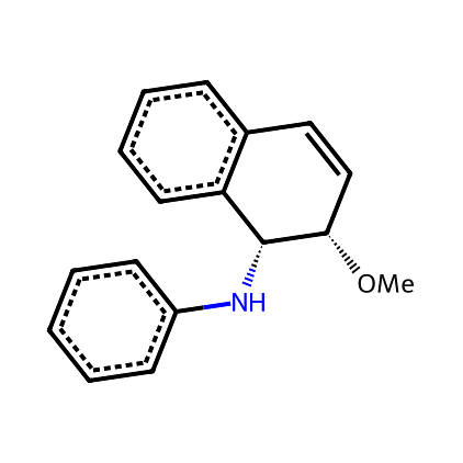 CO[C@H]1C=Cc2ccccc2[C@H]1Nc1ccccc1